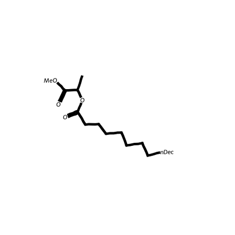 CCCCCCCCCCCCCCCCCC(=O)OC(C)C(=O)OC